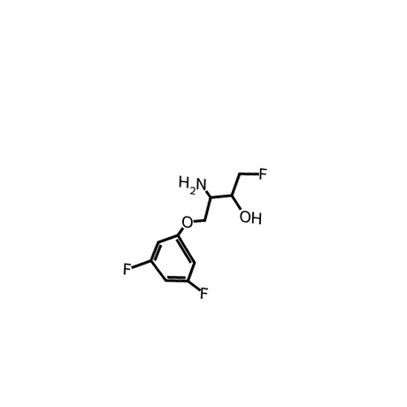 NC(COc1cc(F)cc(F)c1)C(O)CF